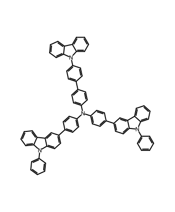 c1ccc(-n2c3ccccc3c3cc(-c4ccc(N(c5ccc(-c6ccc(-n7c8ccccc8c8ccccc87)cc6)cc5)c5ccc(-c6ccc7c(c6)c6ccccc6n7-c6ccccc6)cc5)cc4)ccc32)cc1